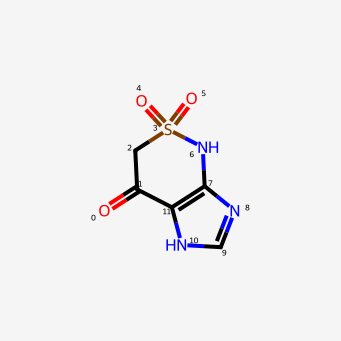 O=C1CS(=O)(=O)Nc2nc[nH]c21